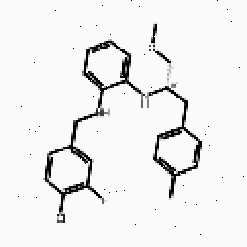 COC[C@H](Cc1ccc(C)cc1)Nc1ccccc1NCc1ccc(Cl)c(F)c1